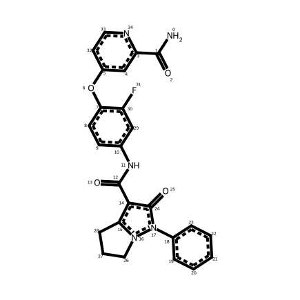 NC(=O)c1cc(Oc2ccc(NC(=O)c3c4n(n(-c5ccccc5)c3=O)CCC4)cc2F)ccn1